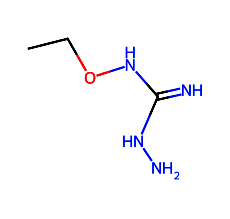 CCONC(=N)NN